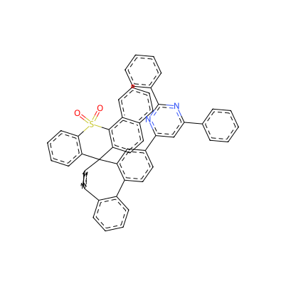 O=S1(=O)c2ccccc2C2(c3ccccc3-c3ccccc3-c3ccc(-c4cc(-c5ccccc5)nc(-c5ccccc5)n4)cc32)c2ccc3ccccc3c21